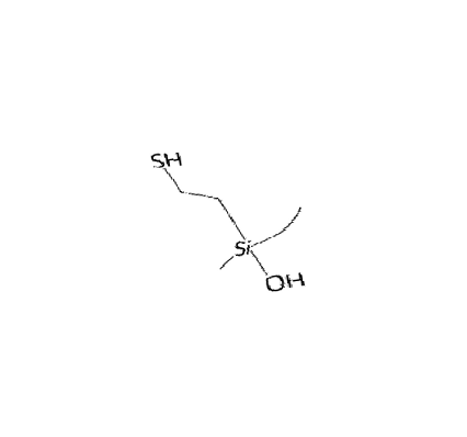 C[Si](C)(O)CCS